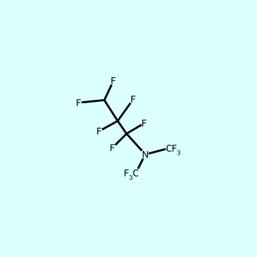 FC(F)C(F)(F)C(F)(F)N(C(F)(F)F)C(F)(F)F